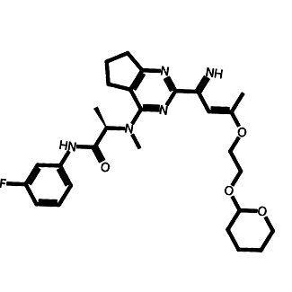 C/C(=C\C(=N)c1nc2c(c(N(C)[C@H](C)C(=O)Nc3cccc(F)c3)n1)CCC2)OCCOC1CCCCO1